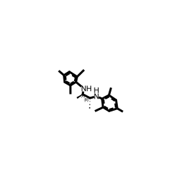 Cc1cc(C)c(N[C@H](C)[C@@H](C)Nc2c(C)cc(C)cc2C)c(C)c1